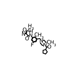 Cc1ocnc1C(=O)Nc1cc(F)cc(CN2CCN(C(=O)C3CCCC3)[C@@H](C)C2)c1C